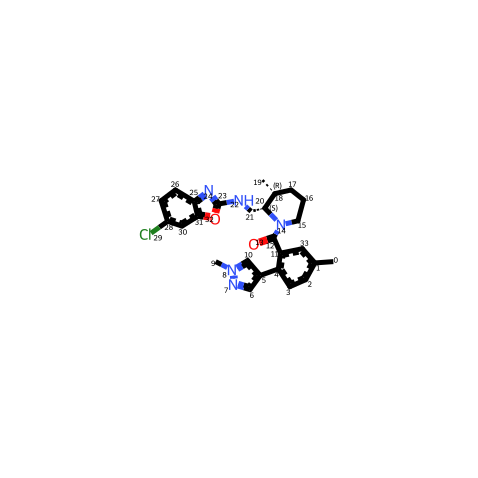 Cc1ccc(-c2cnn(C)c2)c(C(=O)N2CCC[C@@H](C)[C@H]2CNc2nc3ccc(Cl)cc3o2)c1